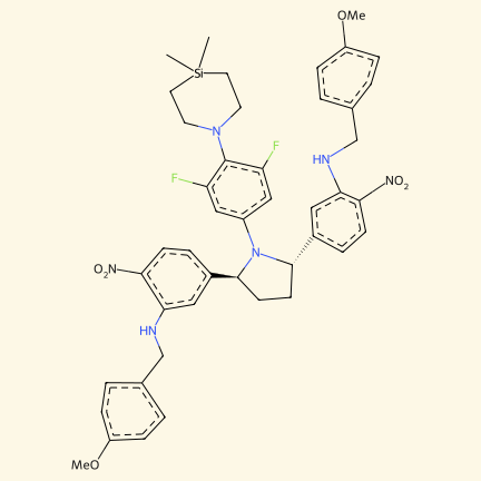 COc1ccc(CNc2cc([C@@H]3CC[C@@H](c4ccc([N+](=O)[O-])c(NCc5ccc(OC)cc5)c4)N3c3cc(F)c(N4CC[Si](C)(C)CC4)c(F)c3)ccc2[N+](=O)[O-])cc1